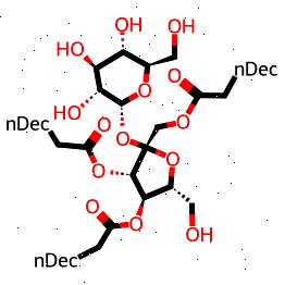 CCCCCCCCCCCC(=O)OC[C@@]1(O[C@H]2O[C@H](CO)[C@@H](O)[C@H](O)[C@H]2O)O[C@H](CO)[C@@H](OC(=O)CCCCCCCCCCC)[C@@H]1OC(=O)CCCCCCCCCCC